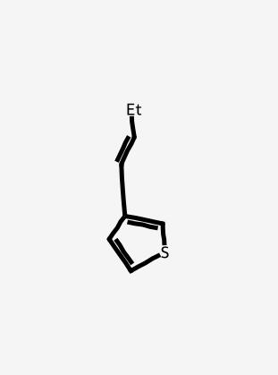 [CH2]CC=Cc1ccsc1